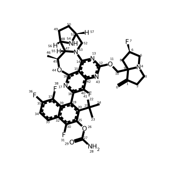 C=C1CCN2C[C@H](F)CC12COc1nc2c3c(nc(-c4c(C(C)(C)C)c(OC(N)=O)c(F)c5ccc(F)c(F)c45)c(F)c3n1)O[C@@H](C)[C@@H]1[C@@H]3CC[C@H](CN21)N3